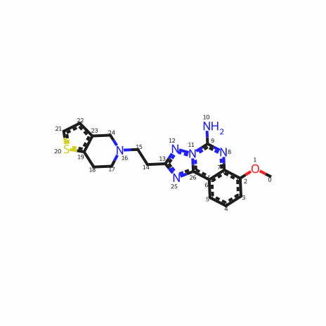 COc1cccc2c1nc(N)n1nc(CCN3CCc4sccc4C3)nc21